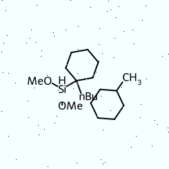 CC1CCCCC1.CCCCC1([SiH](OC)OC)CCCCC1